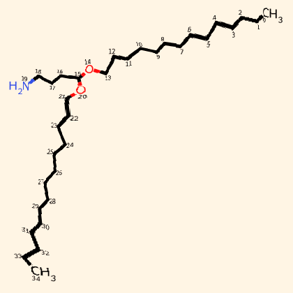 CCCCCCCCCCCCCCOC(CCCN)OCCCCCCCCCCCCCC